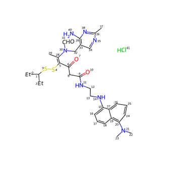 CCC(CC)SSC(C(=O)CC(=O)NCCNc1cccc2c(N(C)C)cccc12)=C(C)N(C=O)Cc1cnc(C)nc1N.Cl